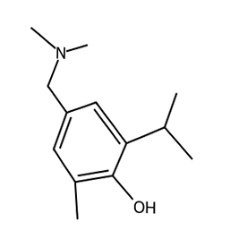 Cc1cc(CN(C)C)cc(C(C)C)c1O